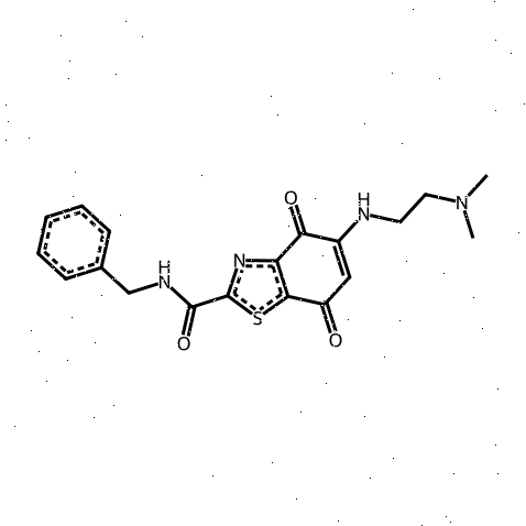 CN(C)CCNC1=CC(=O)c2sc(C(=O)NCc3ccccc3)nc2C1=O